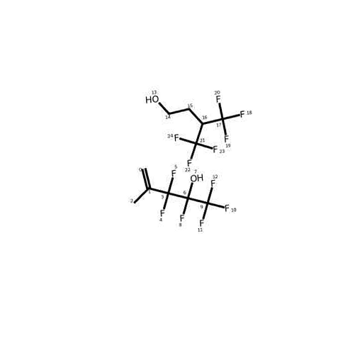 C=C(C)C(F)(F)C(O)(F)C(F)(F)F.OCCC(C(F)(F)F)C(F)(F)F